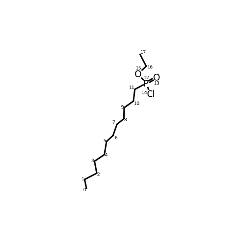 CCCCCCCCCCCCP(=O)(Cl)OCC